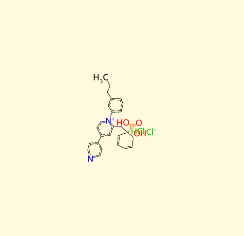 CCCc1cccc(-[n+]2ccc(-c3ccncc3)cc2CC2(P(=O)(O)O)C=CC=CC2)c1.Cl.[Cl-]